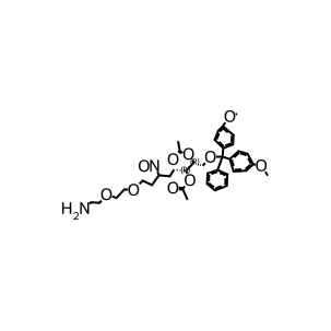 COc1ccc(C(OC[C@@H](OC(C)=O)[C@@H](CCC(CCOCCOCCN)N=O)OC(C)=O)(c2ccccc2)c2ccc(OC)cc2)cc1